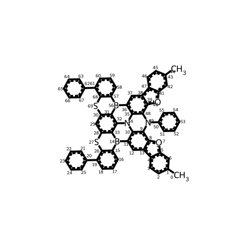 Cc1ccc2c(c1)oc1c3c4c(cc12)B1c2cccc(-c5ccccc5)c2Sc2cc5c6c(c21)N4c1c(cc2c(oc4cc(C)ccc42)c1N3c1ccccc1)B6c1cccc(-c2ccccc2)c1S5